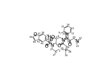 CC(C)CN(C[C@@H](O)[C@H](Cc1ccccc1)N(NC(=O)CN(C)C)C(=O)CC(C)(C)C)S(=O)(=O)c1ccc2occc2c1